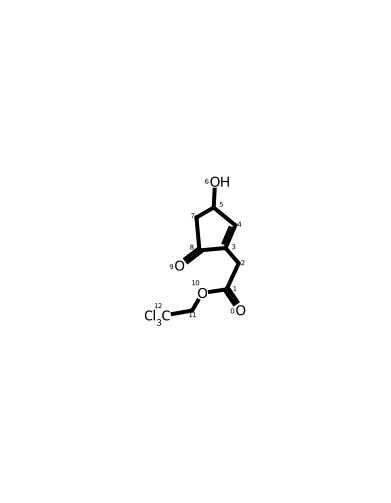 O=C(CC1=CC(O)CC1=O)OCC(Cl)(Cl)Cl